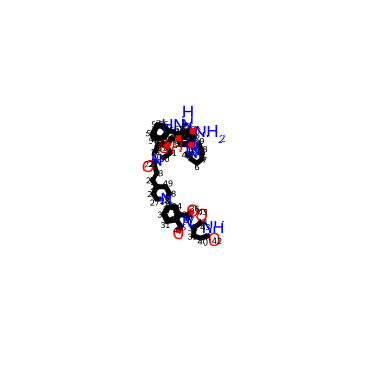 NC1=C(N2CC3CCC(C2)N3c2cccc(CC3CCN(C(=O)CCC4CCN(c5ccc6c(c5)C(=O)N(C5CCC(=O)NC5=O)C6=O)CC4)CC3)c2)C=C(c2ccccc2O)NN1